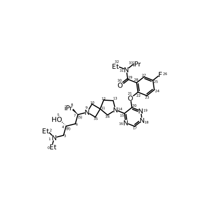 CCN(CC)C[C@H](O)C[C@@H](C(C)C)N1CC2(CCN(c3ncnnc3Oc3ccc(F)cc3C(=O)N(CC)C(C)C)C2)C1